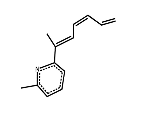 C=C/C=C\C=C(/C)c1cccc(C)n1